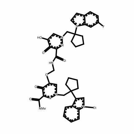 CCn1cc(C2(Cn3cc(OCNC(=O)c4nn(CC5(n6ccc7ccc(F)cc76)CCCC5)cc(O)c4=O)c(=O)c(C(=O)NC)n3)CCCC2)c2ccccc21